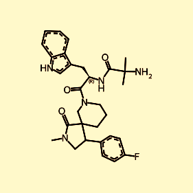 CN1CC(c2ccc(F)cc2)C2(CCCN(C(=O)[C@@H](Cc3c[nH]c4ccccc34)NC(=O)C(C)(C)N)C2)C1=O